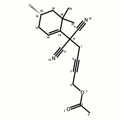 CC(=O)OCC#CCC(C#N)(C#N)C1=CC[C@H](C)CC1(C)C